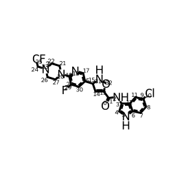 O=C(Nc1c[nH]c2ccc(Cl)cc12)C1=CC(c2cnc(N3CCN(CC(F)(F)F)CC3)c(F)c2)NO1